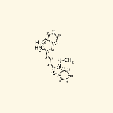 C=C(C=CC=C1Sc2ccccc2N1CC)Cc1ccccc1C